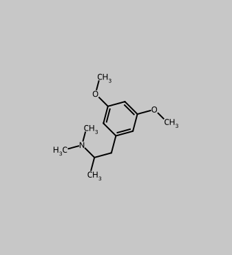 COc1cc(CC(C)N(C)C)cc(OC)c1